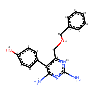 Nc1nc(N)c(-c2ccc(O)cc2)c(COCc2ccccc2)n1